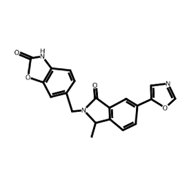 CC1c2ccc(-c3cnco3)cc2C(=O)N1Cc1ccc2[nH]c(=O)oc2c1